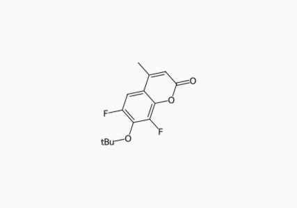 Cc1cc(=O)oc2c(F)c(OC(C)(C)C)c(F)cc12